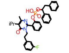 Cc1nc(-c2ccccc2OP(=O)(O)OC(Cc2ccccc2)c2ccccc2)n(CCc2cccc(F)c2)c(=O)c1C(C)C